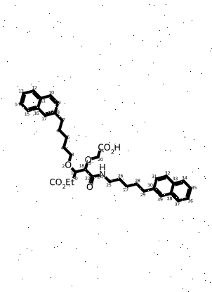 CCOC(=O)C(OCCCCCc1ccc2ccccc2c1)C(OCC(=O)O)C(=O)NCCCCCc1ccc2ccccc2c1